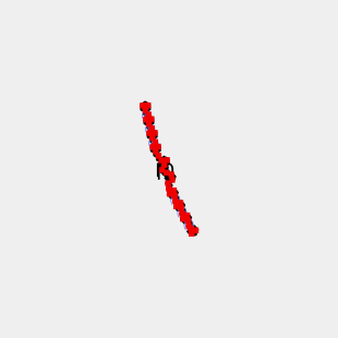 C(=C\c1ccc(/C=C/c2ccc(/C=C/c3ccc(CCCc4cccc(-c5nnc(-c6cccc(CCCc7ccc(/C=C/c8ccc(/C=C/c9ccc(/C=C/c%10ccccc%10)cc9)cc8)cc7)c6)o5)c4)cc3)cc2)cc1)/c1ccccc1